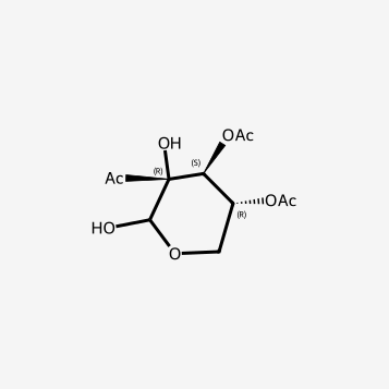 CC(=O)O[C@@H]1COC(O)[C@@](O)(C(C)=O)[C@H]1OC(C)=O